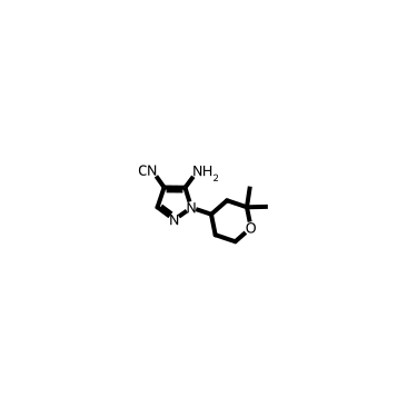 [C-]#[N+]c1cnn(C2CCOC(C)(C)C2)c1N